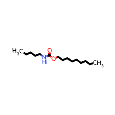 CCCCCCCCCOC(=O)NCCCCC